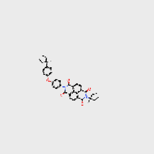 CCC(C)(CC)c1ccc(Oc2ccc(N3C(=O)c4ccc5c6c(ccc(c46)C3=O)C(=O)N(C(C)(CC)CC)C5=O)cc2)cc1